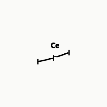 I[I-]I.[Ce]